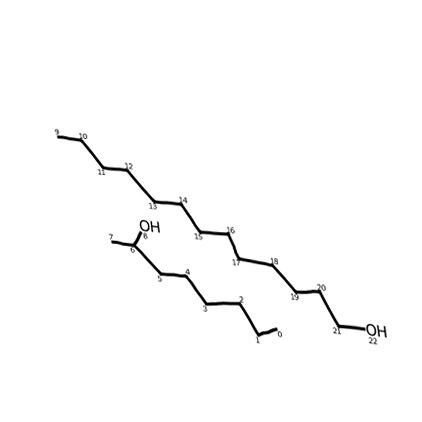 CCCCCCC(C)O.CCCCCCCCCCCCCO